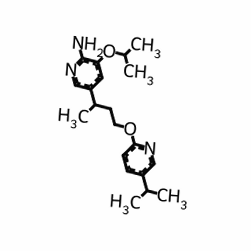 CC(C)Oc1cc(C(C)CCOc2ccc(C(C)C)cn2)cnc1N